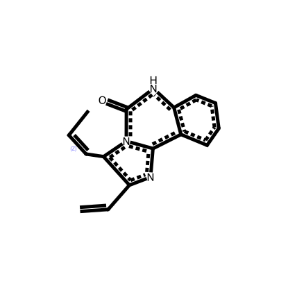 C=Cc1nc2c3ccccc3[nH]c(=O)n2c1/C=C\C